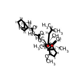 CO[C@@H]1CCC23CC[C@@H](C)[C@](C)(C12)[C@H](OC(=O)NC(=O)[C@H]1CN2CC[C@@H]1C2)C[C@@](C)(CC(C)C)C(=O)[C@@H]3C